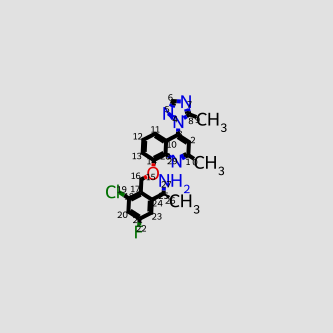 Cc1cc(-n2ncnc2C)c2cccc(OCc3c(Cl)cc(F)cc3[C@H](C)N)c2n1